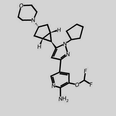 Nc1ncc(-c2cc([C@H]3[C@@H]4C[C@H](N5CCOCC5)C[C@@H]43)n(C3CCCC3)n2)cc1OC(F)F